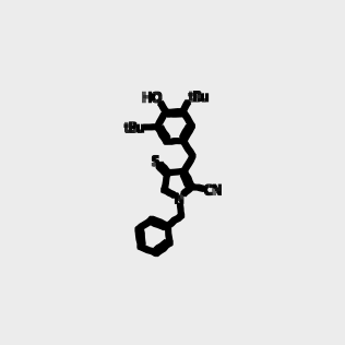 CC(C)(C)c1cc(CC2=C(C#N)N(Cc3ccccc3)CC2=S)cc(C(C)(C)C)c1O